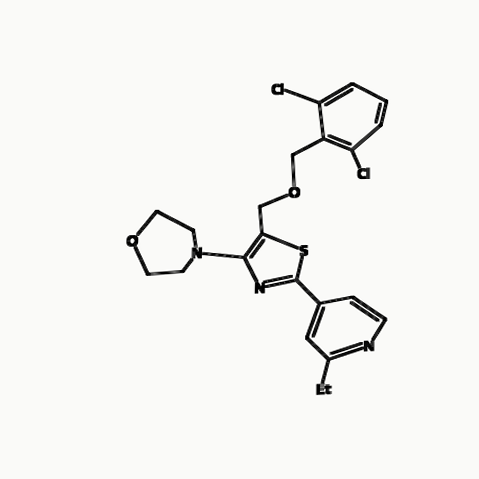 CCc1cc(-c2nc(N3CCOCC3)c(COCc3c(Cl)cccc3Cl)s2)ccn1